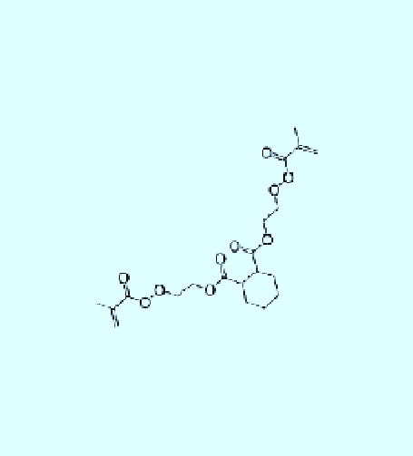 C=C(C)C(=O)OOCCOC(=O)C1CCCCC1C(=O)OCCOOC(=O)C(=C)C